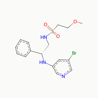 COCCS(=O)(=O)NC[C@H](Nc1cncc(Br)c1)c1ccccc1